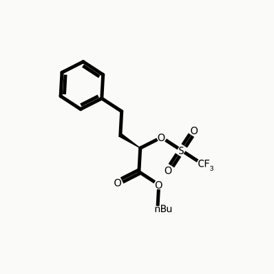 CCCCOC(=O)[C@@H](CCc1ccccc1)OS(=O)(=O)C(F)(F)F